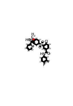 C[C@H]1CC2CC(S(=O)(=O)c3cc(C(=O)Nc4ccc(F)c(F)c4)ccc3Cl)CC1[C@@]2(O)C(O)c1ccccn1